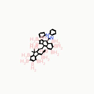 BC1=C(B)C2C(=C1B)C(c1nc3ccccc3n1-c1ccccc1)=c1c(B)c(B)c(B)c(B)c1=C2C/C(B)=C1\C(=C(\B)C#C)c2c(B)c(B)c(B)c(B)c2C1(C)C